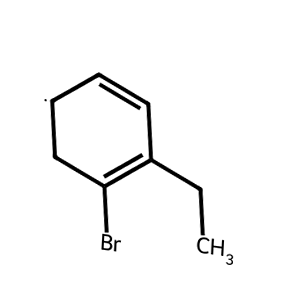 CCC1=C(Br)C[CH]C=C1